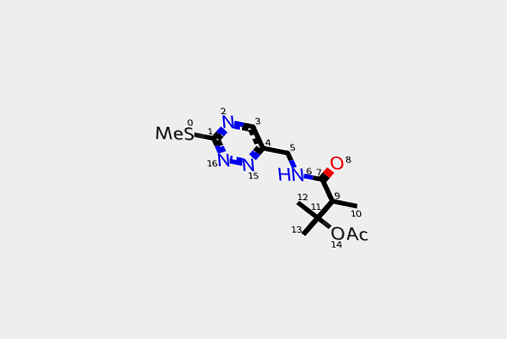 CSc1ncc(CNC(=O)C(C)C(C)(C)OC(C)=O)nn1